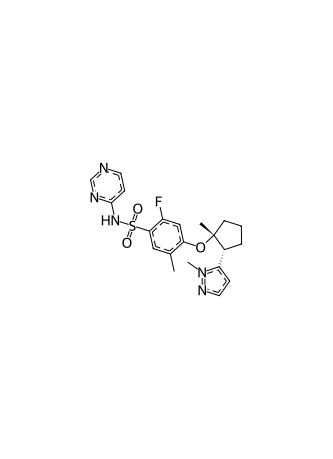 Cc1cc(S(=O)(=O)Nc2ccncn2)c(F)cc1O[C@]1(C)CCC[C@@H]1c1ccnn1C